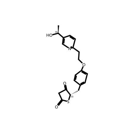 C[C@H](O)c1ccc(CCOc2ccc(C[C@@H]3SC(=O)CC3=O)cc2)nc1